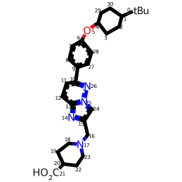 CC(C)(C)C1CCC(Oc2ccc(-c3ccc4nc(CN5CCC(C(=O)O)CC5)cn4n3)cc2)CC1